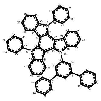 c1ccc(-c2cc(-c3ccccc3)cc(-n3c4ccccc4c4c5c(c6ccccc6n5-c5ccccc5)c5c(c6ccccc6n5-c5ccccc5)c43)c2)cc1